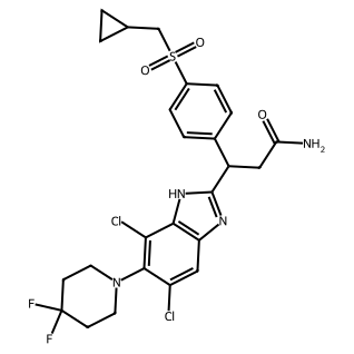 NC(=O)CC(c1ccc(S(=O)(=O)CC2CC2)cc1)c1nc2cc(Cl)c(N3CCC(F)(F)CC3)c(Cl)c2[nH]1